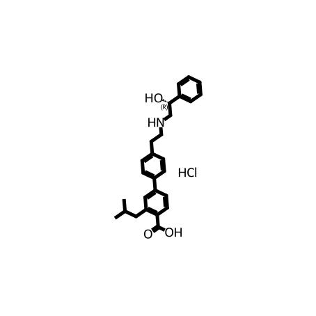 CC(C)Cc1cc(-c2ccc(CCNC[C@H](O)c3ccccc3)cc2)ccc1C(=O)O.Cl